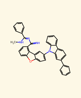 CN/C(=N\C(=N)c1cccc2oc3ccc(-n4c5ccccc5c5ccc(-c6ccccc6)cc54)cc3c12)c1ccccc1